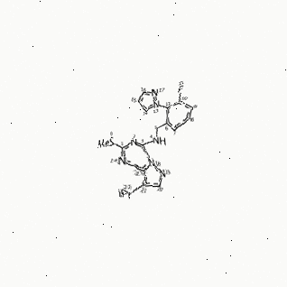 CSc1nc(NCc2cccc(F)c2-n2cccn2)n2ncc(C(C)C)c2n1